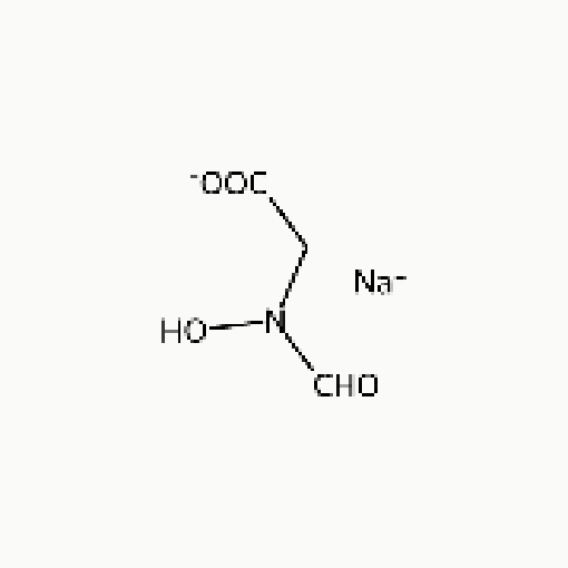 O=CN(O)CC(=O)[O-].[Na+]